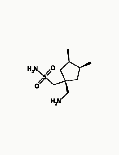 C[C@@H]1C[C@@](CN)(CS(N)(=O)=O)C[C@@H]1C